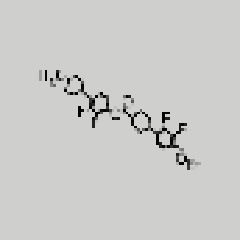 CCOCc1ccc(C2CCC(C(=O)Oc3ccc(C4CCC(C)CC4)c(F)c3F)CC2)c(F)c1F